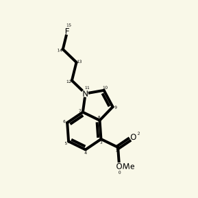 COC(=O)c1cccc2c1ccn2CCCF